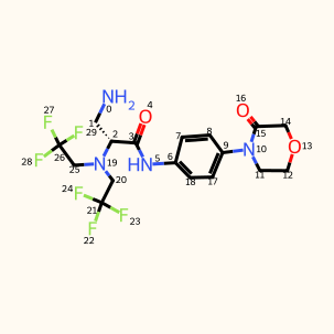 NC[C@H](C(=O)Nc1ccc(N2CCOCC2=O)cc1)N(CC(F)(F)F)CC(F)(F)F